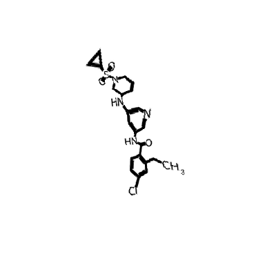 CCc1cc(Cl)ccc1C(=O)Nc1cncc(NC2CCCN(S(=O)(=O)C3CC3)C2)c1